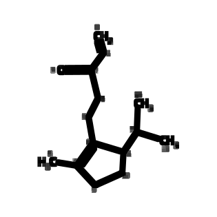 C=CC(=O)CCC1=C(C)CCC1C(C)C